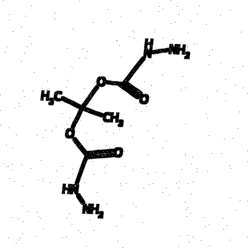 CC(C)(OC(=O)NN)OC(=O)NN